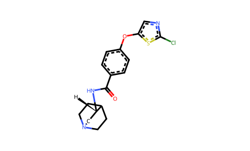 O=C(N[C@H]1CN2CCC1CC2)c1ccc(Oc2cnc(Cl)s2)cc1